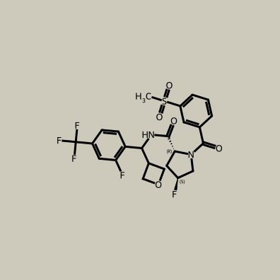 CS(=O)(=O)c1cccc(C(=O)N2C[C@@H](F)C[C@@H]2C(=O)NC(c2ccc(C(F)(F)F)cc2F)C2COC2)c1